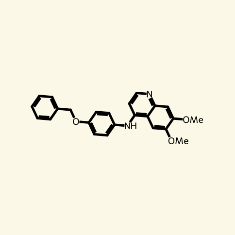 COc1cc2nccc(Nc3ccc(OCc4ccccc4)cc3)c2cc1OC